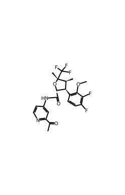 COc1c([C@H]2[C@H](C(=O)Nc3ccnc(C(C)=O)c3)O[C@](C)(C(F)(F)F)[C@H]2C)ccc(F)c1F